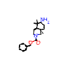 CC1(C)C2=CCN(C(=O)OCc3ccccc3)C[C@@]2(C)CC[C@@H]1N